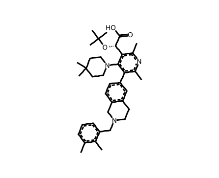 Cc1cccc(CN2CCc3cc(-c4c(C)nc(C)c([C@H](OC(C)(C)C)C(=O)O)c4N4CCC(C)(C)CC4)ccc3C2)c1C